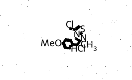 COc1ccc(CC2(C)CN3C(CCl)=CSC3=N2)cc1.Cl